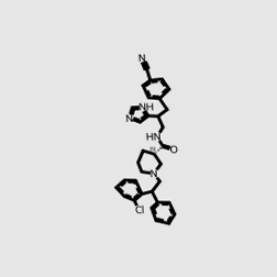 N#Cc1ccc(CC(CNC(=O)[C@H]2CCCN(CC(c3ccccc3)c3ccccc3Cl)C2)c2cnc[nH]2)cc1